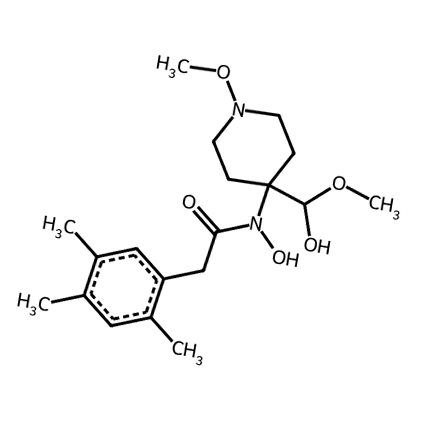 COC(O)C1(N(O)C(=O)Cc2cc(C)c(C)cc2C)CCN(OC)CC1